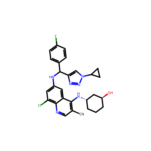 N#Cc1cnc2c(Cl)cc(NC(c3ccc(F)cc3)c3cn(C4CC4)nn3)cc2c1N[C@H]1CCC[C@H](O)C1